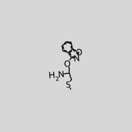 CSCC(N)COc1noc2ccccc12